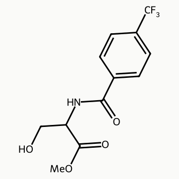 COC(=O)C(CO)NC(=O)c1ccc(C(F)(F)F)cc1